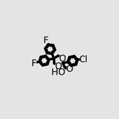 O=C(O)C1(c2ccc(Cl)cc2)OCC(c2ccc(F)cc2)(c2ccc(F)cc2)CO1